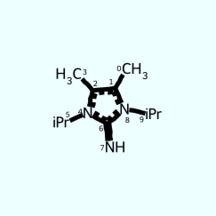 Cc1c(C)n(C(C)C)c(=N)n1C(C)C